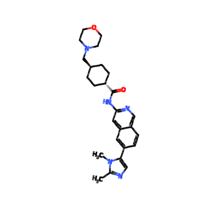 Cc1ncc(-c2ccc3cnc(NC(=O)[C@H]4CC[C@H](CN5CCOCC5)CC4)cc3c2)n1C